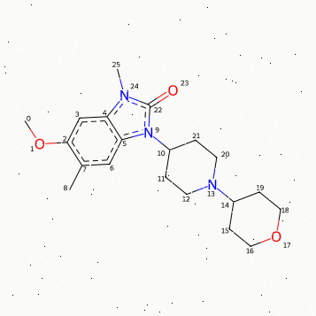 COc1cc2c(cc1C)n(C1CCN(C3CCOCC3)CC1)c(=O)n2C